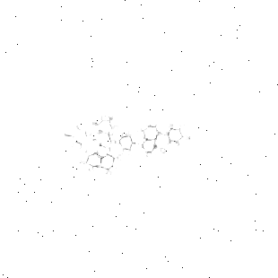 C=C/C=C\C(=C/C)C1C2=C(C(c3ccc(-c4ccc5c6c(cccc46)-c4ccccc4S5)cc3)=C3C=CC=CC31)c1cccc3cccc2c13